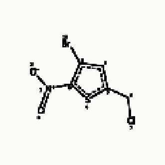 O=[N+]([O-])c1sc(CCl)cc1Br